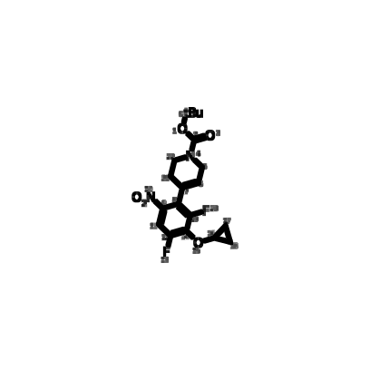 CC(C)(C)OC(=O)N1CC=C(c2c([N+](=O)[O-])cc(F)c(OC3CC3)c2F)CC1